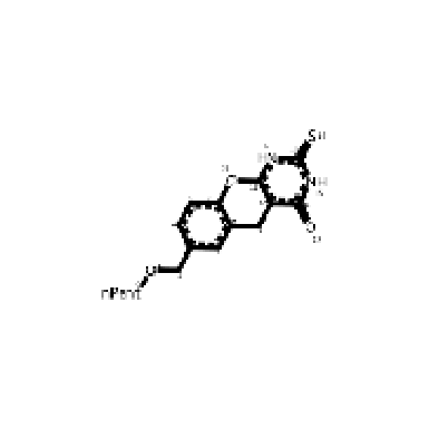 CCCCCOCc1ccc2c(c1)Cc1c([nH]c(=S)[nH]c1=O)O2